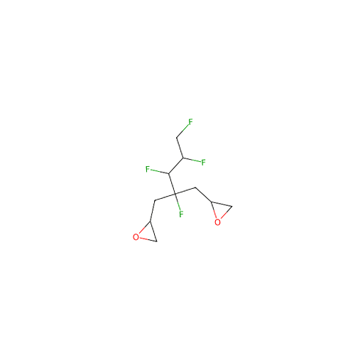 FCC(F)C(F)C(F)(CC1CO1)CC1CO1